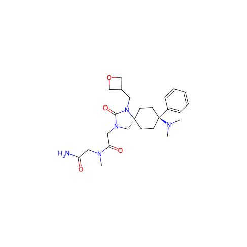 CN(CC(N)=O)C(=O)CN1C[C@]2(CC[C@](c3ccccc3)(N(C)C)CC2)N(CC2COC2)C1=O